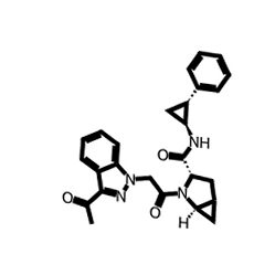 CC(=O)c1nn(CC(=O)N2[C@@H]3CC3C[C@H]2C(=O)N[C@H]2C[C@@H]2c2ccccc2)c2ccccc12